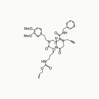 C#CCN1CC(=O)N2[C@@H](CCCNC(=O)OCC=C)C(=O)N(CCc3ccc(OC)c(OC)c3)C[C@@H]2N1C(=O)NCc1ccccc1